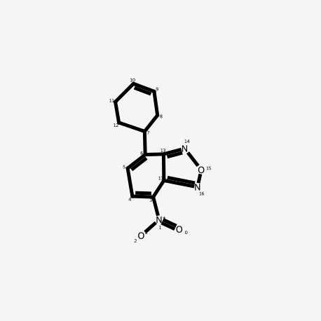 O=[N+]([O-])c1ccc(C2CC=CCC2)c2nonc12